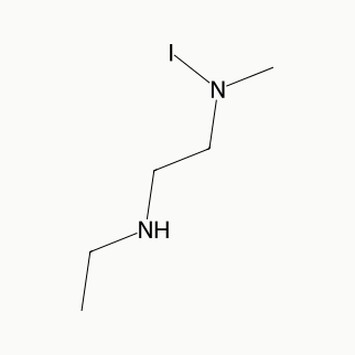 CCNCCN(C)I